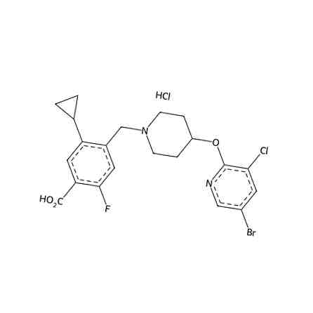 Cl.O=C(O)c1cc(C2CC2)c(CN2CCC(Oc3ncc(Br)cc3Cl)CC2)cc1F